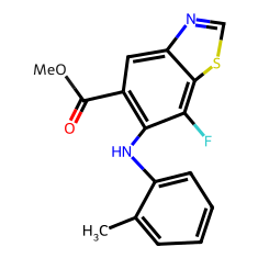 COC(=O)c1cc2ncsc2c(F)c1Nc1ccccc1C